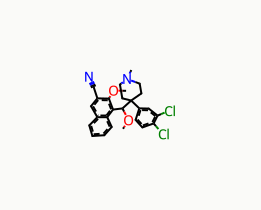 COc1c(C#N)cc2ccccc2c1C(OC)C1(c2ccc(Cl)c(Cl)c2)CCN(C)CC1